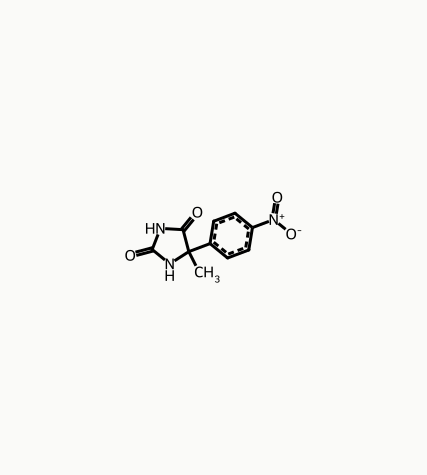 CC1(c2ccc([N+](=O)[O-])cc2)NC(=O)NC1=O